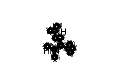 C1=CC2=c3ccccc3=C(c3cccc4c(-c5cc(C6=NC(c7ccccc7)NC(c7ccccc7)=N6)cc(-c6cc7cccc8ccc9cccc6c9c87)c5)cccc34)NC2C=C1